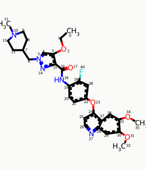 CCOc1cn(CC2CCN(C)CC2)nc1C(=O)Nc1ccc(Oc2ccnc3cc(OC)c(OC)cc23)cc1F